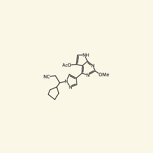 COc1nc(-c2cnn(C(CC#N)C3CCCC3)c2)c2c(OC(C)=O)c[nH]c2n1